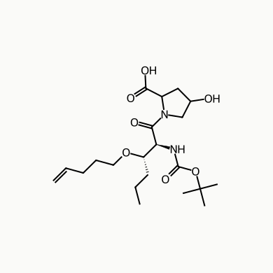 C=CCCCO[C@@H](CCC)[C@H](NC(=O)OC(C)(C)C)C(=O)N1CC(O)CC1C(=O)O